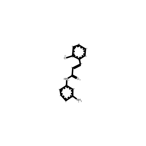 Nc1cccc(NC(=O)C=Cc2ccccc2Cl)c1